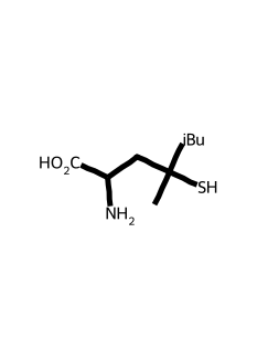 CCC(C)C(C)(S)CC(N)C(=O)O